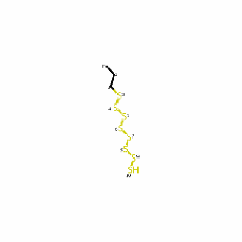 CCCSSSSSSSS